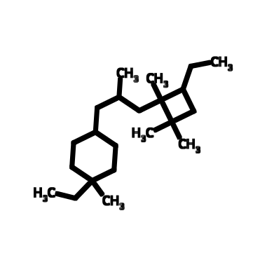 CCC1CC(C)(C)C1(C)CC(C)CC1CCC(C)(CC)CC1